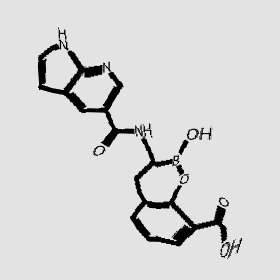 O=C(NC1Cc2cccc(C(=O)O)c2OB1O)c1cnc2[nH]ccc2c1